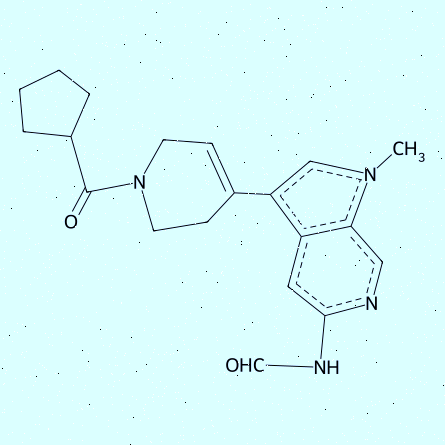 Cn1cc(C2=CCN(C(=O)C3CCCC3)CC2)c2cc(NC=O)ncc21